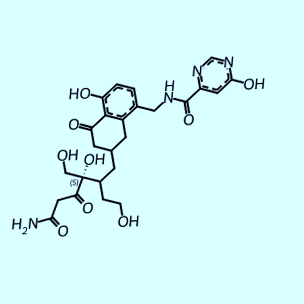 NC(=O)CC(=O)[C@@](O)(CO)C(CCO)CC1CC(=O)c2c(O)ccc(CNC(=O)c3cc(O)ncn3)c2C1